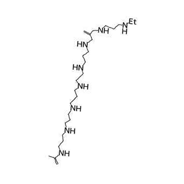 C=C(CNCCCNCC)CNCCCNCCNCCCNCCCNCCCNC(=C)C